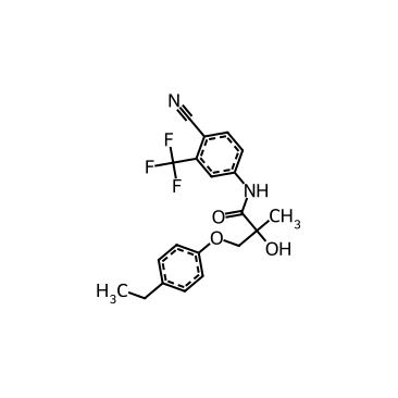 CCc1ccc(OCC(C)(O)C(=O)Nc2ccc(C#N)c(C(F)(F)F)c2)cc1